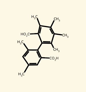 Cc1cc(C)c(-c2c(C)c(C)c(C)c(C)c2C(=O)O)c(C(=O)O)c1